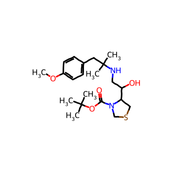 COc1ccc(CC(C)(C)NCC(O)C2CSCN2C(=O)OC(C)(C)C)cc1